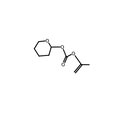 C=C(C)OC(=O)OC1CCCCO1